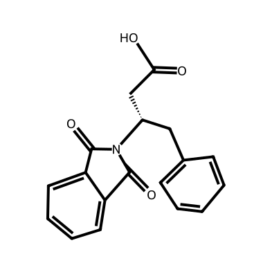 O=C(O)C[C@H](Cc1ccccc1)N1C(=O)c2ccccc2C1=O